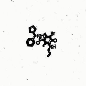 CCCNn1c(C)c(C(=O)N[C@H](c2ccccc2)C2CCCC2)c(C)c(Br)c1=O